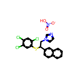 Clc1cc(Cl)c(SC(Cn2ccnc2)c2ccc3ccccc3c2)cc1Cl.O=[N+]([O-])O